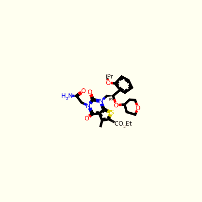 CCOC(=O)c1sc2c(c1C)c(=O)n(CC(N)=O)c(=O)n2C[C@H](OC1CCOCC1)c1ccccc1OC(C)C